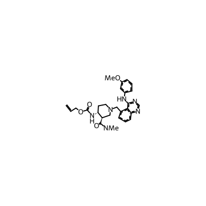 C=CCOC(=O)N[C@@H]1CCN(Cc2cccc3ncnc(Nc4cccc(OC)c4)c23)C[C@H]1C(=O)NC